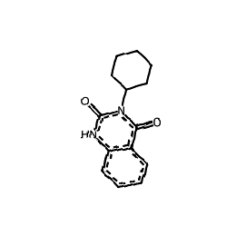 O=c1[nH]c2ccccc2c(=O)n1C1CCCCC1